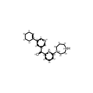 O=C(c1cncc(C2=CCCCC2)c1)c1cccc(N2CCCNCC2)n1